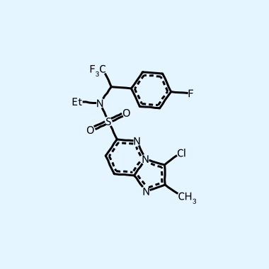 CCN(C(c1ccc(F)cc1)C(F)(F)F)S(=O)(=O)c1ccc2nc(C)c(Cl)n2n1